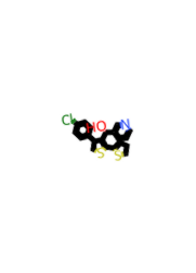 OC(C1=C(C2=CCCS2)SCC1c1ccc(Cl)cc1)c1cccnc1